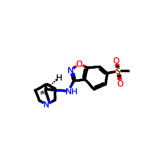 CS(=O)(=O)c1ccc2c(N[C@H]3CN4CCC3CC4)noc2c1